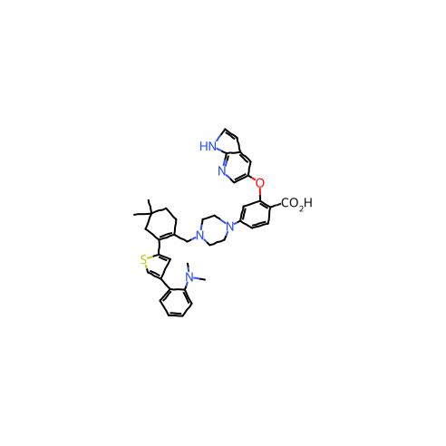 CN(C)c1ccccc1-c1csc(C2=C(CN3CCN(c4ccc(C(=O)O)c(Oc5cnc6[nH]ccc6c5)c4)CC3)CCC(C)(C)C2)c1